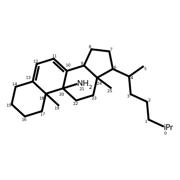 CC(C)CCCC(C)C1CCC2C3=CC=C4CCCCC4(C)C3(N)CCC21C